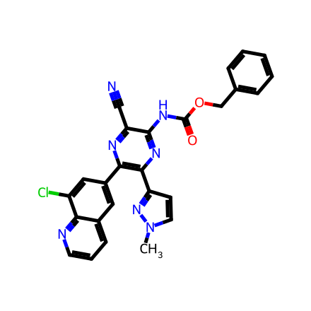 Cn1ccc(-c2nc(NC(=O)OCc3ccccc3)c(C#N)nc2-c2cc(Cl)c3ncccc3c2)n1